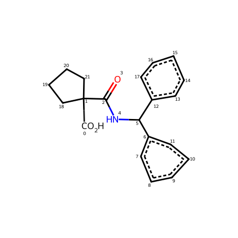 O=C(O)C1(C(=O)NC(c2ccccc2)c2ccccc2)CCCC1